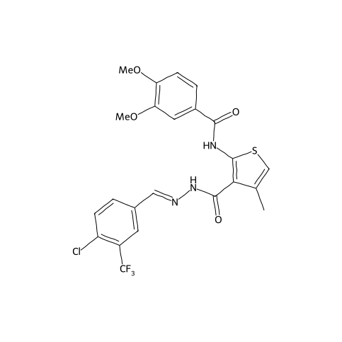 COc1ccc(C(=O)Nc2scc(C)c2C(=O)NN=Cc2ccc(Cl)c(C(F)(F)F)c2)cc1OC